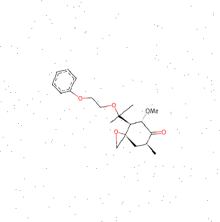 CO[C@@H]1C(=O)[C@@H](C)C[C@]2(CO2)[C@H]1C(C)(C)OCCOc1ccccc1